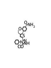 NC(=O)c1ccc2c(c1)OCCc1cc(-c3n[nH]c(=O)n3-c3ccccc3Cl)sc1-2